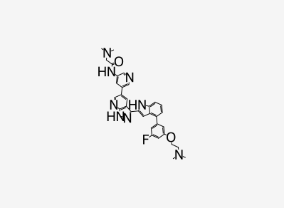 CN(C)CCOc1cc(F)cc(-c2cccc3[nH]c(-c4n[nH]c5ncc(-c6cncc(NC(=O)CN(C)C)c6)cc45)cc23)c1